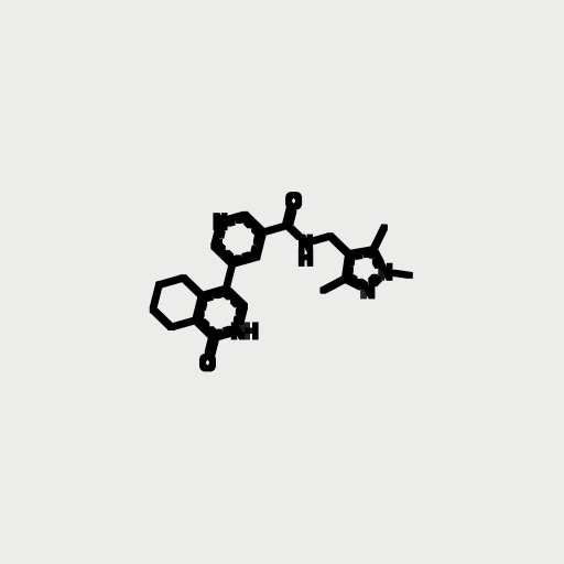 Cc1nn(C)c(C)c1CNC(=O)c1cncc(-c2c[nH]c(=O)c3c2CCCC3)c1